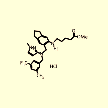 CCN(CCCCC(=O)OC)c1cc2c(cc1CN(Cc1cc(C(F)(F)F)cc(C(F)(F)F)c1)c1ccn(C)n1)CCC2.Cl